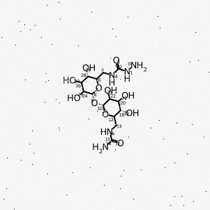 NNC(=O)NCC1O[C@H](O[C@H]2OC(CNC(N)=O)[C@@H](O)C(O)C2O)C(O)C(O)[C@@H]1O